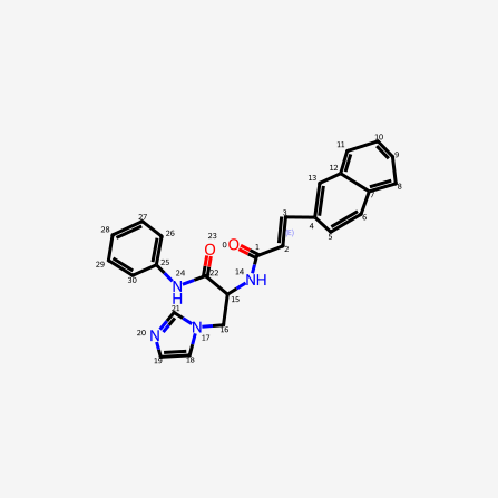 O=C(/C=C/c1ccc2ccccc2c1)NC(Cn1ccnc1)C(=O)Nc1ccccc1